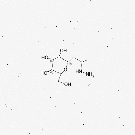 CC(C[C@@H]1OC(CO)[C@@H](O)[C@H](O)C1O)NN